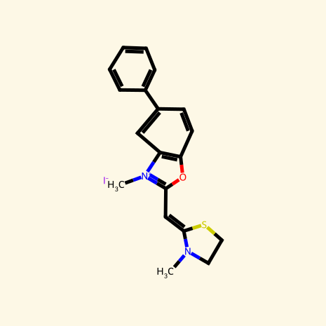 CN1CCS/C1=C\c1oc2ccc(-c3ccccc3)cc2[n+]1C.[I-]